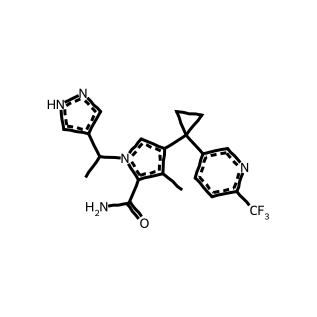 Cc1c(C2(c3ccc(C(F)(F)F)nc3)CC2)cn(C(C)c2cn[nH]c2)c1C(N)=O